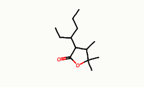 CCCC(CC)C1C(=O)OC(C)(C)C1C